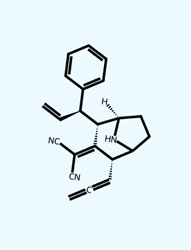 C=C=C[C@@H]1C(=C(C#N)C#N)[C@H]([C@@H](C=C)c2ccccc2)[C@H]2CCC1N2